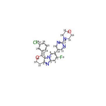 Fc1cc2nc3c(n2cc1-c1cnc(N2CCOCC2)nc1)C(c1cccc(Cl)c1)OCC3